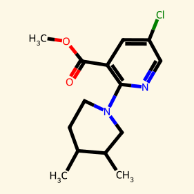 COC(=O)c1cc(Cl)cnc1N1CCC(C)C(C)C1